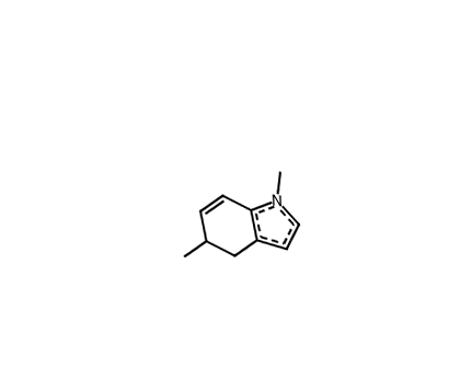 CC1C=Cc2c(ccn2C)C1